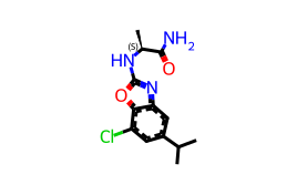 CC(C)c1cc(Cl)c2oc(N[C@@H](C)C(N)=O)nc2c1